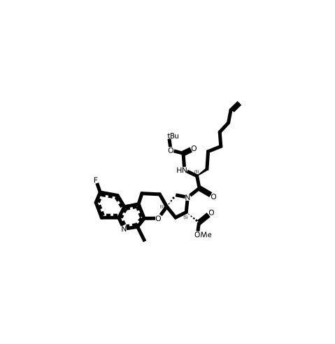 C=CCCCCC[C@H](NC(=O)OC(C)(C)C)C(=O)N1C[C@]2(CCc3c(c(C)nc4ccc(F)cc34)O2)C[C@H]1C(=O)OC